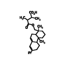 CC(C)C1=CC2=CCC3C(C)(COC(=O)C(C)C(C)C(=O)O)CCCC3(C)C2CC1